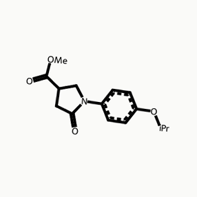 COC(=O)C1CC(=O)N(c2ccc(OC(C)C)cc2)C1